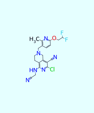 Cc1nc(OCC(F)F)ccc1CN1CCc2c(NCC#N)nc(Cl)c(C#N)c2C1